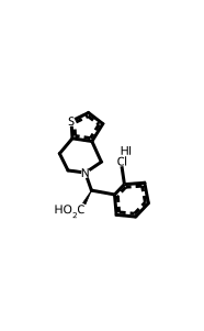 I.O=C(O)[C@H](c1ccccc1Cl)N1CCc2sccc2C1